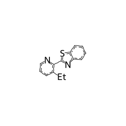 CCc1cccnc1-c1nc2ccccc2s1